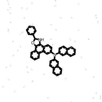 c1ccc(C2Nc3c(c4ccccc4c4cc(N(c5ccc6ccccc6c5)c5ccc6ccccc6c5)ccc34)O2)cc1